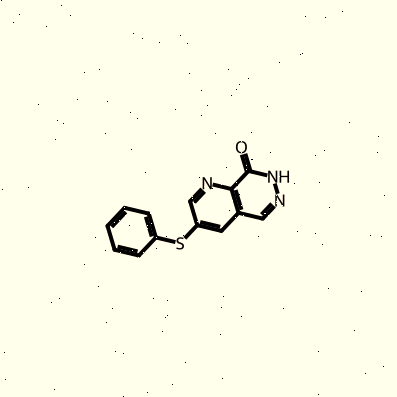 O=c1[nH]ncc2cc(Sc3ccccc3)cnc12